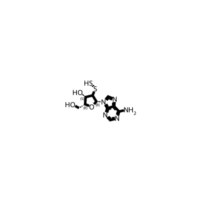 Nc1ncnc2c1ncn2[C@@H]1O[C@H](CO)[C@H](O)C1SS